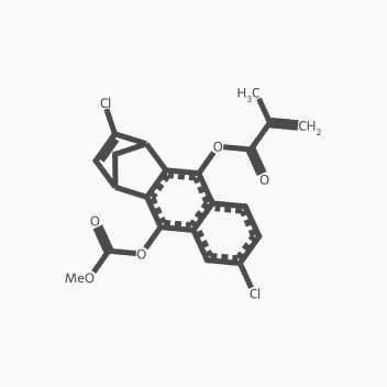 C=C(C)C(=O)Oc1c2c(c(OC(=O)OC)c3cc(Cl)ccc13)C1C=C(Cl)C2C1